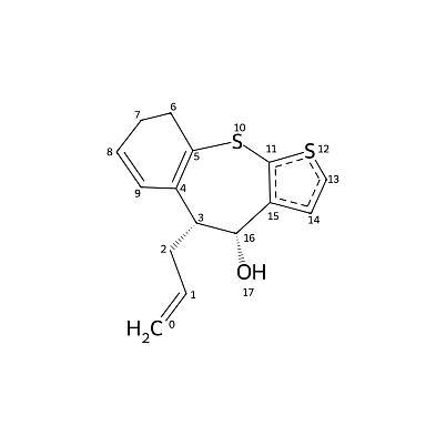 C=CC[C@@H]1C2=C(CCC=C2)Sc2sccc2[C@@H]1O